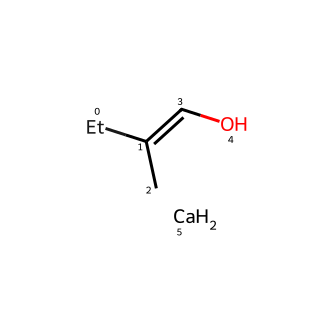 CCC(C)=CO.[CaH2]